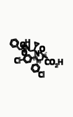 C[C@]1(CC(=O)O)C[C@H](c2cccc(Cl)c2)[C@@H](c2ccc(Cl)cc2)N(C(CNS(=O)(=O)Cc2ccccc2)C2CC2)C1=O